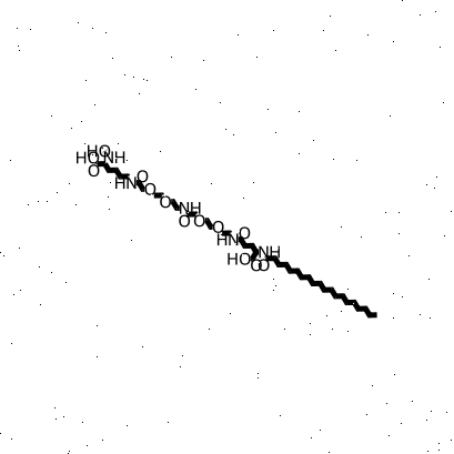 CCCCCCCCCCCCCCCCCCCC(=O)NC(CCC(=O)NCCOCCOCC(=O)NCCOCCOCC(=O)NCCCCC(NO)C(=O)O)C(=O)O